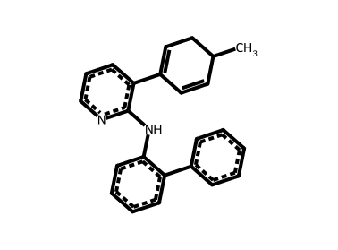 CC1C=CC(c2cccnc2Nc2ccccc2-c2ccccc2)=CC1